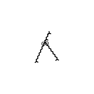 CC(C)=CCC/C(C)=C/C(OCCCCCCCCCCC(C)C)OCCCCCCCCCCC(C)C